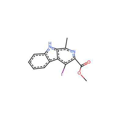 COC(=O)c1nc(C)c2[nH]c3ccccc3c2c1I